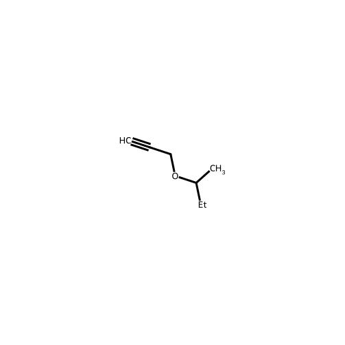 C#CCOC(C)CC